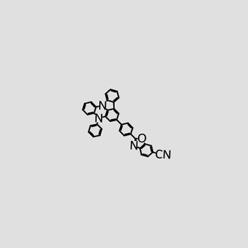 N#Cc1ccc2nc(-c3ccc(-c4cc5c6c(c4)c4ccccc4n6-c4ccccc4N5c4ccccc4)cc3)oc2c1